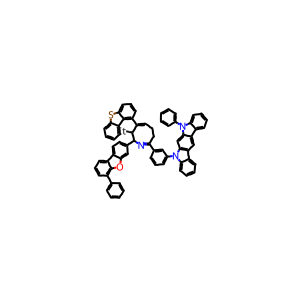 CCC1/C(c2cccc3sc4ccccc4c23)=C\CC/C(c2cccc(-n3c4ccccc4c4cc5c6ccccc6n(-c6ccccc6)c5cc43)c2)=N\C1c1ccc2c(c1)oc1c(-c3ccccc3)cccc12